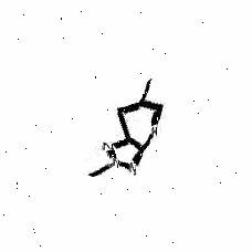 Cc1cnc2nn(C)nc2c1